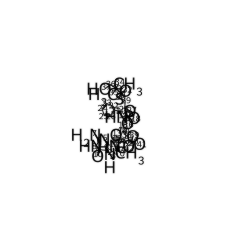 CC1Nc2c(nc(N)[nH]c2=O)N1[C@@H]1O[C@H](COP(=O)(NCc2ccccc2)OCCSC(=O)C(C)(C)CO)C2OC(=O)OC21C